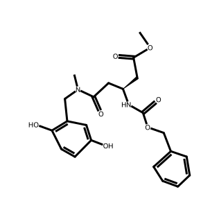 COC(=O)C[C@H](CC(=O)N(C)Cc1cc(O)ccc1O)NC(=O)OCc1ccccc1